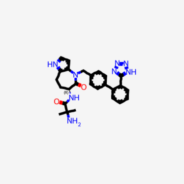 CC(C)(N)C(=O)N[C@@H]1CCc2[nH]ccc2N(Cc2ccc(-c3ccccc3-c3nnn[nH]3)cc2)C1=O